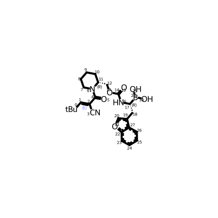 CC(C)(C)/C=C(\C#N)C(=O)N1CCCC[C@@H]1COC(=O)N[C@@H](Cc1coc2ccccc12)B(O)O